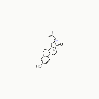 C=C(C)/C=C1\CC2C3CCc4cc(O)ccc4C3CC[C@]2(C)C1=O